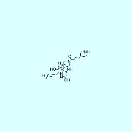 CCCCC(NC(=O)C(CC(=O)O)NC(=O)CN(CC)C(=O)CCCC1CCNCC1)C(=O)O